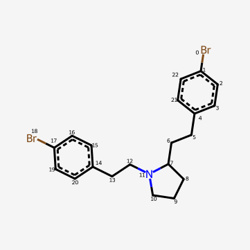 Brc1ccc(CCC2CCCN2CCc2ccc(Br)cc2)cc1